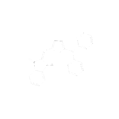 O=C1C(=Cc2ccc(N(c3ccccc3)c3ccccn3)s2)C(=O)c2ccccc21